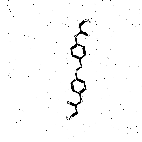 C=CC(=O)Oc1ccc(SSc2ccc(OC(=O)C=C)cc2)cc1